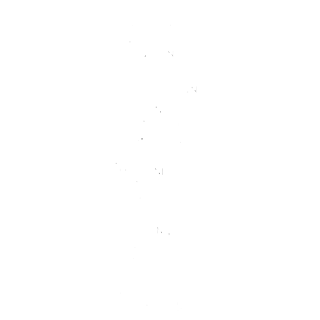 Cc1cccc(-n2ccnc2CN2CCC(NC(=O)c3ccc(-c4cccc(F)c4)nc3)CC2)c1